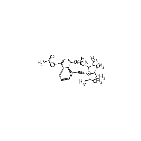 CC(C)[Si](C#Cc1cccc2c(OC(N)=O)ccc(O)c12)(C(C)C)C(C)C